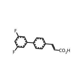 O=C(O)C=Cc1ccc(-c2cc(F)cc(F)c2)cc1